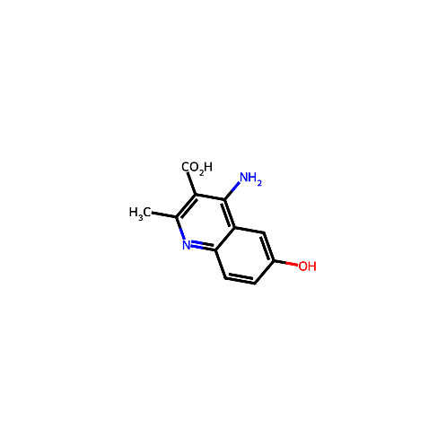 Cc1nc2ccc(O)cc2c(N)c1C(=O)O